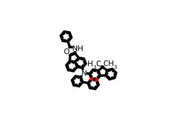 CC1(C)c2ccccc2-c2ccc(N(c3ccccc3-c3ccccc3)c3ccc4c5c(cccc35)C3=C4NC(c4ccccc4)O3)cc21